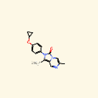 CCOC(=O)c1c2cnc(C)cn2c(=O)n1-c1ccc(OC2CC2)cc1